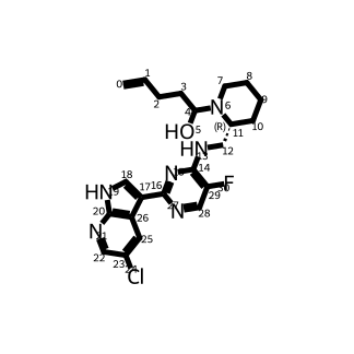 C=CCCC(O)N1CCCC[C@@H]1CNc1nc(-c2c[nH]c3ncc(Cl)cc23)ncc1F